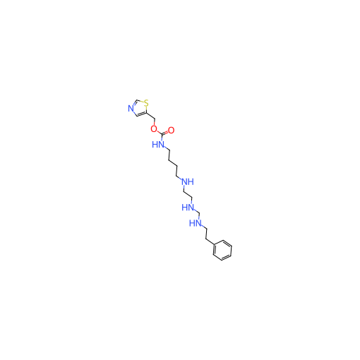 O=C(NCCCCNCCNCNCCc1ccccc1)OCc1cncs1